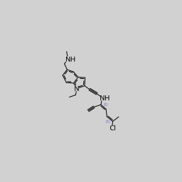 C#C/C(=C\C=C(/C)Cl)NC#Cc1cc2cc(CNC)ccc2n1CC